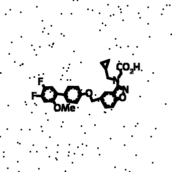 COc1cc(F)c(F)cc1-c1ccc(OCc2ccc3onc(N(CC(=O)O)CC4CC4)c3c2)cc1